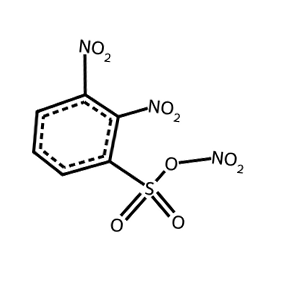 O=[N+]([O-])OS(=O)(=O)c1cccc([N+](=O)[O-])c1[N+](=O)[O-]